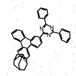 c1ccc(-c2nc(-c3ccccc3)nc(-c3ccc4c(c3)c3ccccc3c3cc5c(cc43)C3CC4CC(CC5C4)C3)n2)cc1